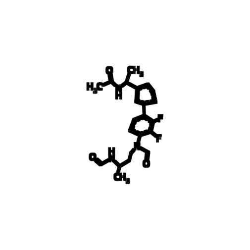 CC(=O)NC(C)c1cccc(-c2ccc(N(C=O)CCC(C)NC=O)c(F)c2F)c1